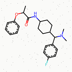 CC(Oc1ccccc1)C(=O)NC1CCC(C(c2ccc(F)cc2)N(C)C)CC1